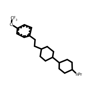 CCCC1CCC(C2CCC(CCc3ccc(OC(F)(F)F)cc3)CC2)CC1